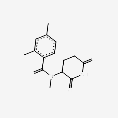 Cc1ccc(C(=O)N(C)C2CCC(=O)NC2=O)c(C)c1